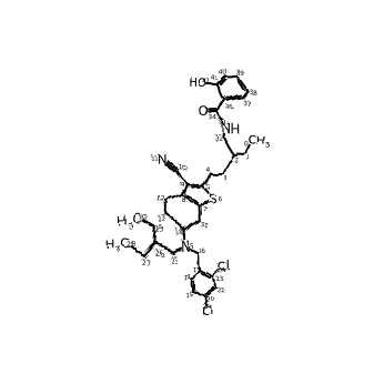 CCC(CCc1sc2c(c1C#N)CCC(N(Cc1ccc(Cl)cc1Cl)CC(CC)CC)C2)CNC(=O)c1ccccc1O